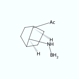 BN[C@H]1C2CCC(CC2)[C@H]1C(C)=O